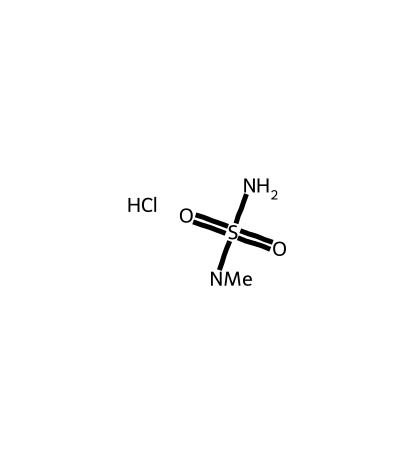 CNS(N)(=O)=O.Cl